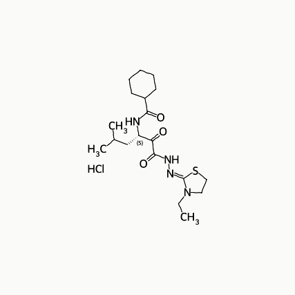 CCN1CCSC1=NNC(=O)C(=O)[C@H](CC(C)C)NC(=O)C1CCCCC1.Cl